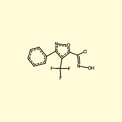 ON=C(Cl)c1onc(-c2ccccc2)c1C(F)(F)F